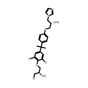 CC(=O)O[C@H](COc1ccc(C(C)(C)c2cc(Cl)c(OC[C@H](CCl)OC(C)=O)c(Cl)c2)cc1)Cn1ccnc1